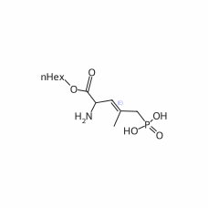 CCCCCCOC(=O)C(N)/C=C(\C)CP(=O)(O)O